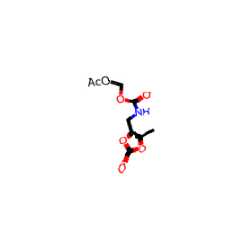 CC(=O)OCOC(=O)NCc1oc(=O)oc1C